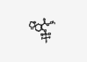 COC(=O)C1=C(OS(=O)(=O)C(F)(F)F)CCC2(C1)OCCO2